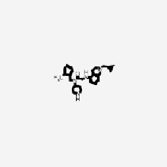 O=C(CNc1cccc2c1CCN(CC1CC1)C2)N(Cc1ccccc1C(F)(F)F)C1CCNCC1